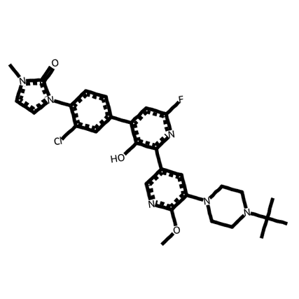 COc1ncc(-c2nc(F)cc(-c3ccc(-n4ccn(C)c4=O)c(Cl)c3)c2O)cc1N1CCN(C(C)(C)C)CC1